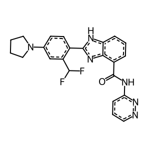 O=C(Nc1cccnn1)c1cccc2[nH]c(-c3ccc(N4CCCC4)cc3C(F)F)nc12